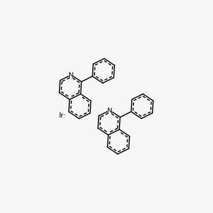 [Ir].c1ccc(-c2nccc3ccccc23)cc1.c1ccc(-c2nccc3ccccc23)cc1